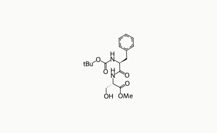 COC(=O)[C@H](CO)NC(=O)[C@H](Cc1ccccc1)NC(=O)OC(C)(C)C